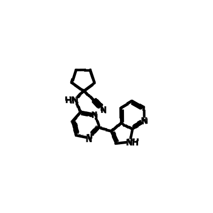 N#CC1(Nc2ccnc(-c3c[nH]c4ncccc34)n2)CCCC1